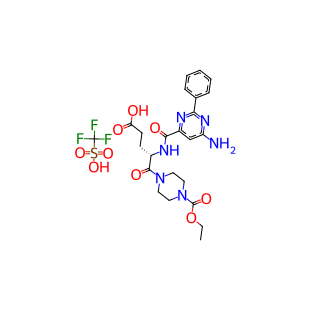 CCOC(=O)N1CCN(C(=O)[C@H](CCC(=O)O)NC(=O)c2cc(N)nc(-c3ccccc3)n2)CC1.O=S(=O)(O)C(F)(F)F